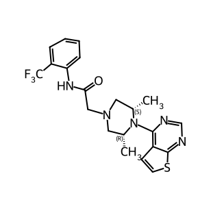 C[C@@H]1CN(CC(=O)Nc2ccccc2C(F)(F)F)C[C@H](C)N1c1ncnc2sccc12